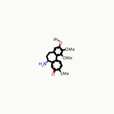 COc1c(OC(C)C)cc2c(c1OC)-c1ccc(SC)c(=O)cc1[C@@H](N)CC2